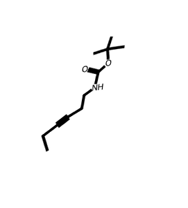 CCC#CCCNC(=O)OC(C)(C)C